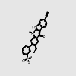 C#Cc1ccc2c(c1)[nH]c1c2c(=O)c2cc(CC)c(-c3cccc(S(=O)(=O)F)c3)cc2n1C